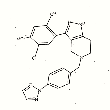 Oc1cc(O)c(-c2n[nH]c3c2CN(Cc2ccc(-n4nccn4)cc2)CC3)cc1Cl